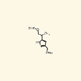 COCc1cc(C(C)COC=O)[nH]n1